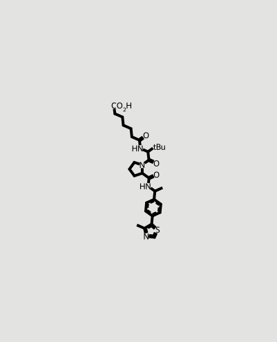 Cc1ncsc1-c1ccc(C(C)NC(=O)C2CCCN2C(=O)C(NC(=O)CCCCCC(=O)O)C(C)(C)C)cc1